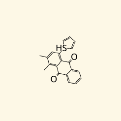 Cc1cc([SH]2C=CC=C2)c2c(c1C)C(=O)c1ccccc1C2=O